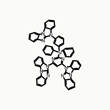 c1ccc([Si](c2ccccc2)(c2cccc(-n3c4ccccc4n4c5ccccc5nc34)c2)c2nc(-n3c4ccccc4n4c5ccccc5nc34)cc(-n3c4ccccc4n4c5ccccc5nc34)n2)cc1